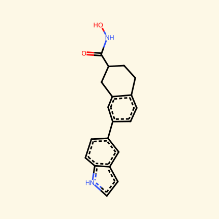 O=C(NO)C1CCc2ccc(-c3ccc4[nH]ccc4c3)cc2C1